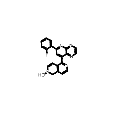 ON1C=Cc2c(ccnc2-c2cc(-c3ccccc3F)nc3nccnc23)C1